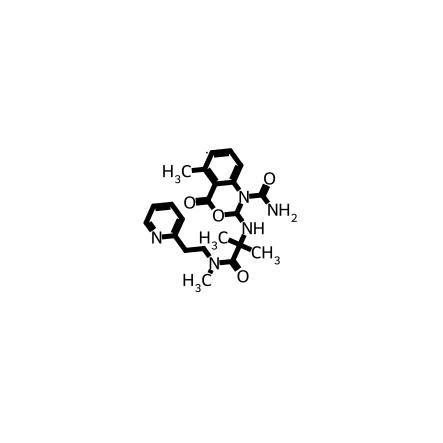 Cc1[c]ccc2c1C(=O)OC(NC(C)(C)C(=O)N(C)CCc1ccccn1)N2C(N)=O